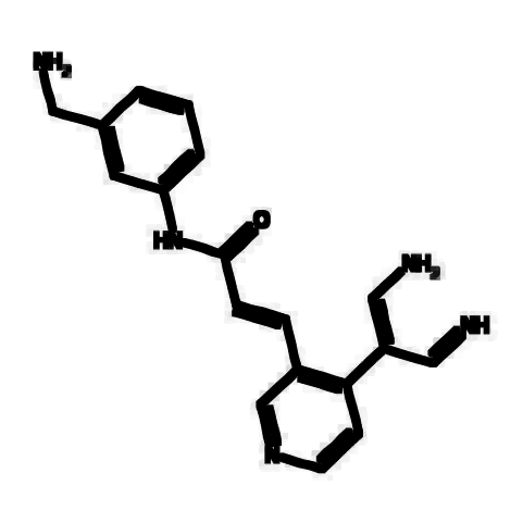 N=C/C(=C\N)c1ccncc1/C=C/C(=O)Nc1cccc(CN)c1